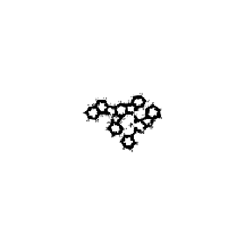 c1ccc(-c2nc(-n3c4ccccc4c4cc5c6ccc7ccccc7c6n6c7ccccc7c(c43)c56)c3c(n2)sc2ccccc23)cc1